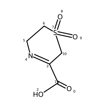 O=C(O)C1=NCCS(=O)(=O)C1